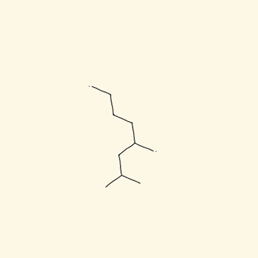 [CH2]CCCC([CH2])CC(C)C